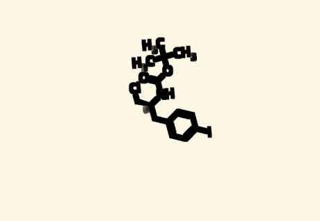 CC(C)(C)OC(=O)N[C@H](CCl)Cc1ccc(I)cc1